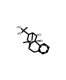 CCCC(C)(O)C1CC2C3Cc4ccccc4[C@@]2(CC)CC1N3C.Cl